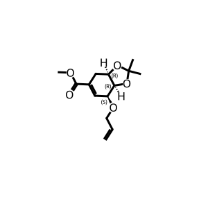 C=CCO[C@H]1C=C(C(=O)OC)C[C@H]2OC(C)(C)O[C@@H]12